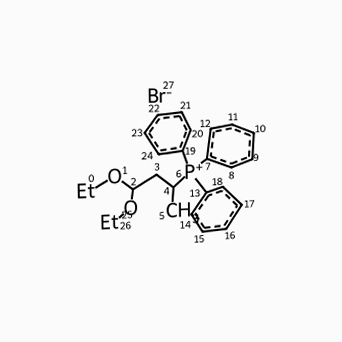 CCOC(CC(C)[P+](c1ccccc1)(c1ccccc1)c1ccccc1)OCC.[Br-]